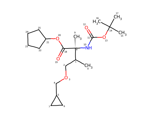 CC(COCC1CC1)[C@](C)(NC(=O)OC(C)(C)C)C(=O)OC1CCCC1